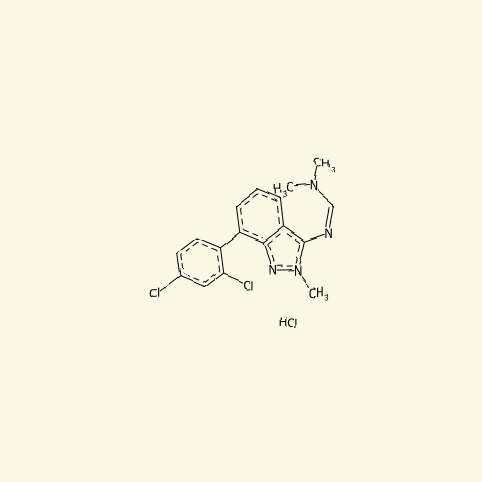 CN(C)/C=N\c1c2cccc(-c3ccc(Cl)cc3Cl)c2nn1C.Cl